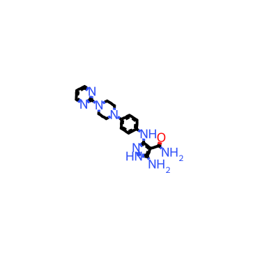 NC(=O)c1c(Nc2ccc(N3CCN(c4ncccn4)CC3)cc2)n[nH]c1N